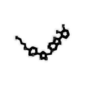 FCCCOc1ccc(-c2cc(Cn3cc4nc(-c5cccc(F)c5F)nc-4cn3)on2)cc1